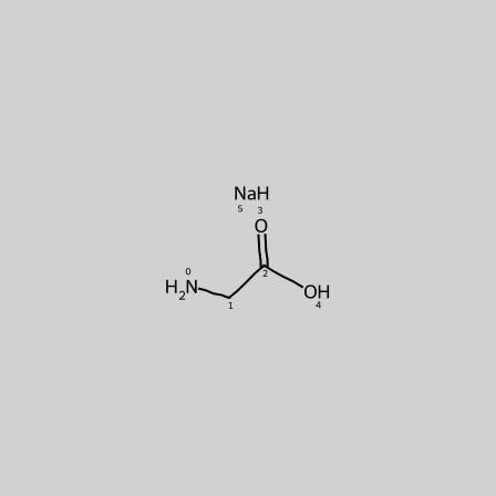 NCC(=O)O.[NaH]